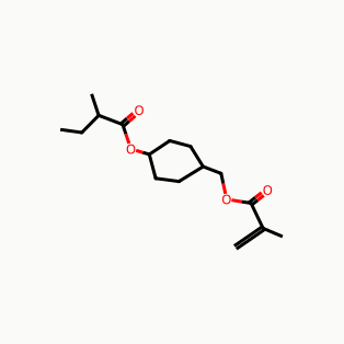 C=C(C)C(=O)OCC1CCC(OC(=O)C(C)CC)CC1